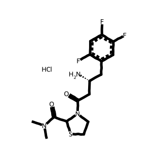 CN(C)C(=O)C1SCCN1C(=O)C[C@H](N)Cc1cc(F)c(F)cc1F.Cl